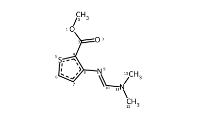 COC(=O)c1sccc1/N=C/N(C)C